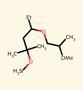 CCC(CC(C)(C)O[SiH3])OCC(C)OC